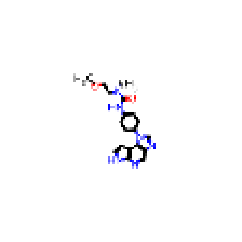 COCCN(C)C(=O)NC1CCC(n2cnc3cnc4[nH]ccc4c32)CC1